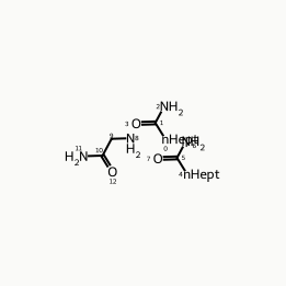 CCCCCCCC(N)=O.CCCCCCCC(N)=O.NCC(N)=O